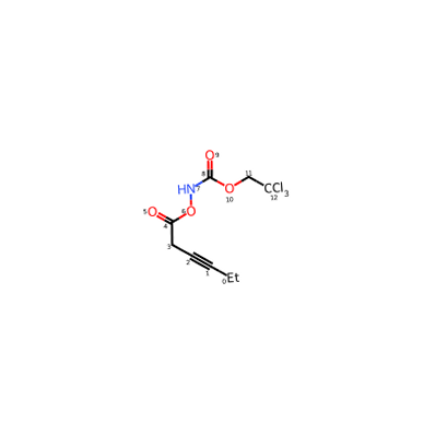 CCC#CCC(=O)ONC(=O)OCC(Cl)(Cl)Cl